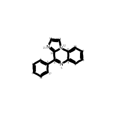 c1ccc(-c2nc3ccccc3n3ccnc23)cc1